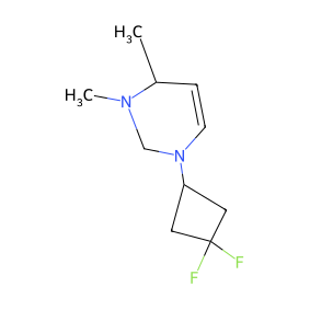 CC1C=CN(C2CC(F)(F)C2)CN1C